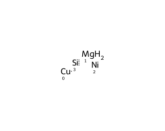 [Cu].[MgH2].[Ni].[Si]